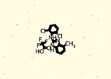 Cc1cccc2[nH]c(Nc3c(Cl)cccc3Cl)nc12.O=C(O)C(F)(F)F